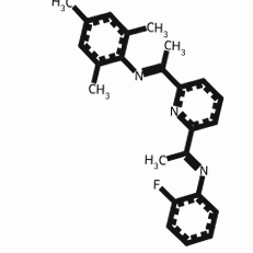 CC(=Nc1ccccc1F)c1cccc(C(C)=Nc2c(C)cc(C)cc2C)n1